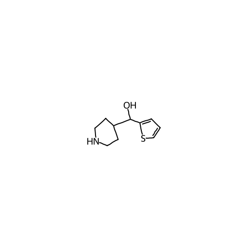 OC(c1cccs1)C1CCNCC1